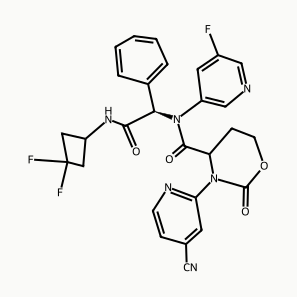 N#Cc1ccnc(N2C(=O)OCCC2C(=O)N(c2cncc(F)c2)[C@@H](C(=O)NC2CC(F)(F)C2)c2ccccc2)c1